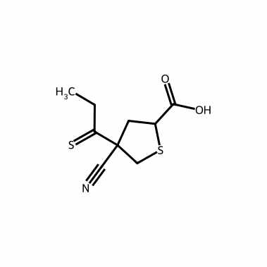 CCC(=S)C1(C#N)CSC(C(=O)O)C1